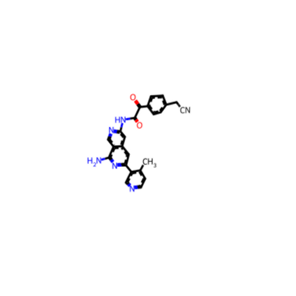 Cc1ccncc1-c1cc2cc(NC(=O)C(=O)c3ccc(CC#N)cc3)ncc2c(N)n1